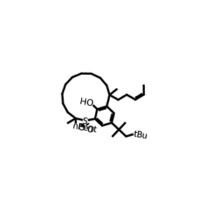 C/C=C\CCC1(C)CCCCCCCCCC(C)(CCCCC)S(=O)(=O)c2cc(C(C)(C)CC(C)(C)C)cc1c2O